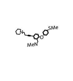 CNCc1cc(C#CCCN2CCCCC2)ccc1Oc1ccc(SC)cc1